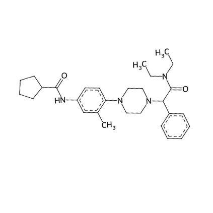 CCN(CC)C(=O)C(c1ccccc1)N1CCN(c2ccc(NC(=O)C3CCCC3)cc2C)CC1